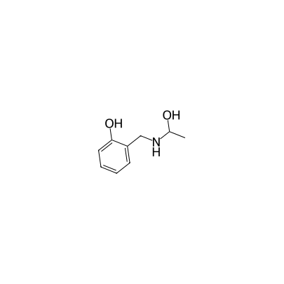 CC(O)NCc1ccccc1O